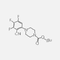 CC(C)(C)OC(=O)N1CCN(c2cc(F)c(F)c(F)c2C#N)CC1